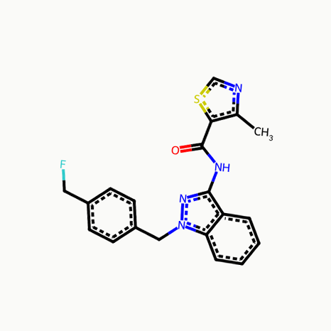 Cc1ncsc1C(=O)Nc1nn(Cc2ccc(CF)cc2)c2ccccc12